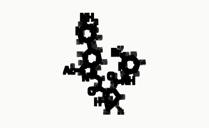 CC(=O)c1nn(CC(=O)N2[C@H](C(=O)Nc3cccc(Br)n3)C[C@@]3(C)C[C@@H]23)c2ccc(-c3cnc(N)nc3)cc12